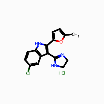 Cc1ccc(-c2[nH]c3ccc(Cl)cc3c2C2=NCCN2)o1.Cl